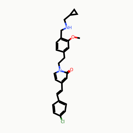 COc1cc(CCn2ccc(/C=C/c3ccc(Cl)cc3)cc2=O)ccc1CNCC1CC1